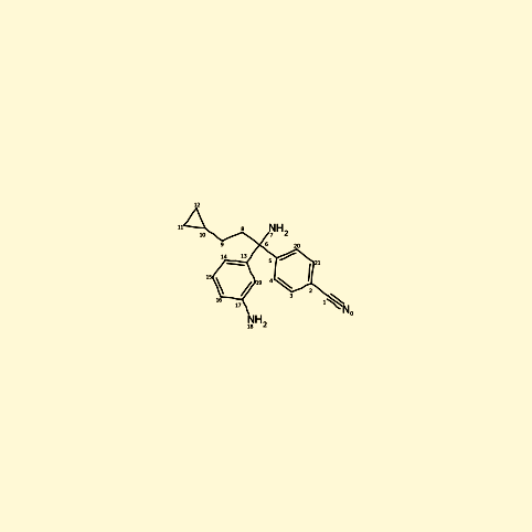 N#Cc1ccc(C(N)(CCC2CC2)c2cccc(N)c2)cc1